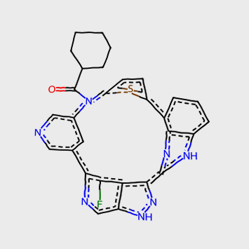 O=C(C1CCCCC1)n1c2cncc(c2)c2ncc3[nH]nc(c4nc5c(cccc5c5ccc1s5)[nH]4)c3c2F